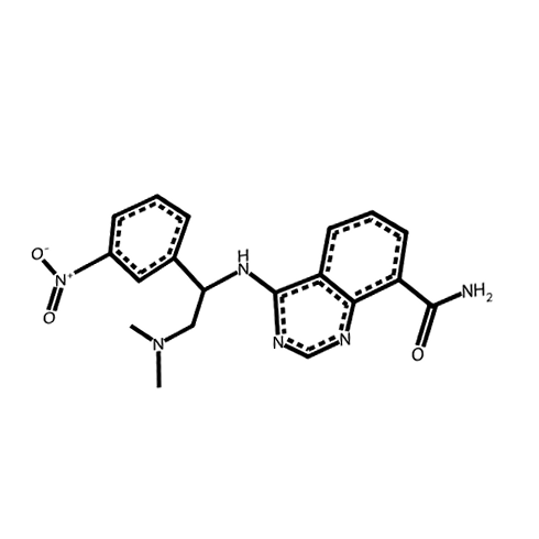 CN(C)CC(Nc1ncnc2c(C(N)=O)cccc12)c1cccc([N+](=O)[O-])c1